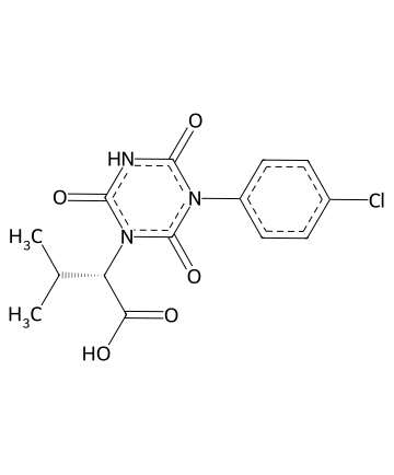 CC(C)[C@@H](C(=O)O)n1c(=O)[nH]c(=O)n(-c2ccc(Cl)cc2)c1=O